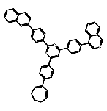 C1=CC(c2ccc(-c3cc(-c4ccc(-c5cncc6ccccc56)cc4)nc(-c4ccc(-c5ccc6ccccc6c5)cc4)n3)cc2)=CCCC1